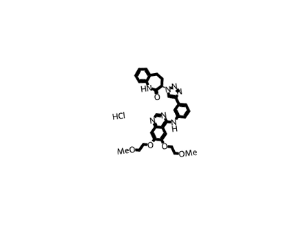 COCCOc1cc2ncnc(Nc3cccc(-c4cn([C@H]5CCc6ccccc6NC5=O)nn4)c3)c2cc1OCCOC.Cl